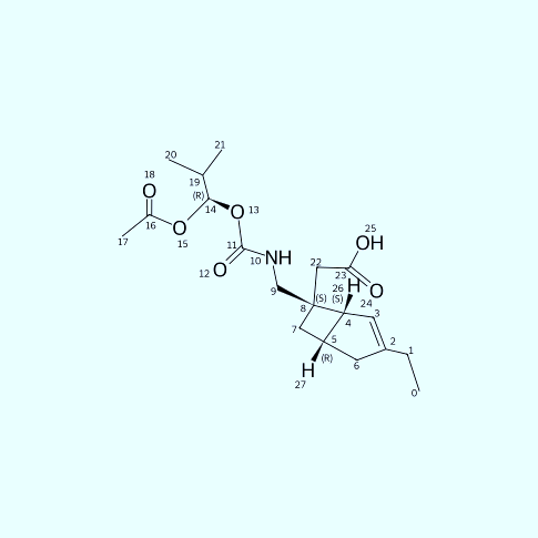 CCC1=C[C@@H]2[C@H](C1)C[C@]2(CNC(=O)O[C@@H](OC(C)=O)C(C)C)CC(=O)O